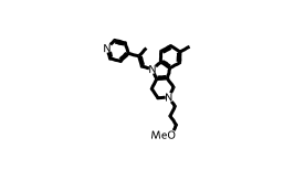 COCCCN1CCc2c(c3cc(C)ccc3n2C=C(C)c2ccncc2)C1